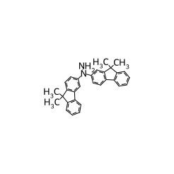 CC1(C)c2ccccc2-c2cc(N(N)c3ccc4c(c3)C(C)(C)c3ccccc3-4)ccc21